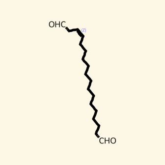 O=CC/C=C\CCCCCCCCCCCCCC=O